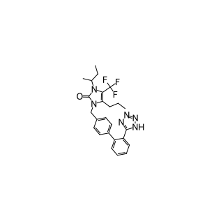 CCCc1c(C(F)(F)F)n(C(C)CC)c(=O)n1Cc1ccc(-c2ccccc2-c2nnn[nH]2)cc1